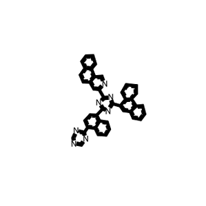 c1ccc2c(c1)ccc1cc(-c3nc(-c4ccc(-c5ncncn5)c5ccccc45)nc(-c4cc5ccccc5c5ccccc45)n3)ncc12